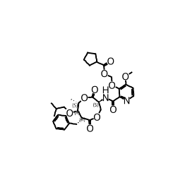 COc1ccnc(C(=O)N[C@H]2COC(=O)[C@H](Cc3ccccc3)[C@@H](OCC(C)C)[C@H](C)OC2=O)c1OCOC(=O)C1CCCC1